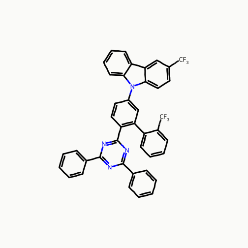 FC(F)(F)c1ccc2c(c1)c1ccccc1n2-c1ccc(-c2nc(-c3ccccc3)nc(-c3ccccc3)n2)c(-c2ccccc2C(F)(F)F)c1